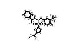 COC(=O)c1ccc(S(=O)(=O)N(Cc2ccc(F)c(C(F)(F)F)c2)c2sc3ccccc3c2C)o1